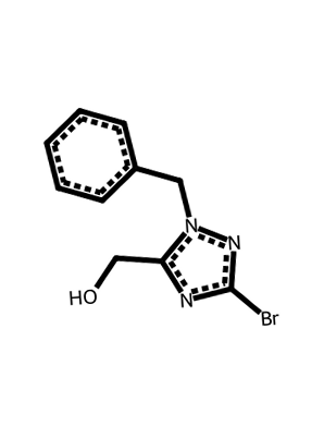 OCc1nc(Br)nn1Cc1ccccc1